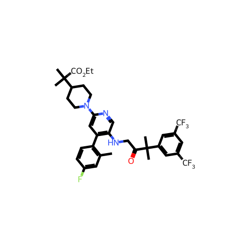 CCOC(=O)C(C)(C)C1CCN(c2cc(-c3ccc(F)cc3C)c(NCC(=O)C(C)(C)c3cc(C(F)(F)F)cc(C(F)(F)F)c3)cn2)CC1